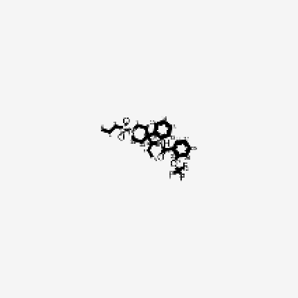 CCCS(=O)(=O)N1CCC(c2ccccc2)(C(CC)NC(=O)c2ccccc2OC(F)(F)F)CC1